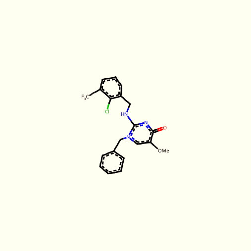 COc1cn(Cc2ccccc2)c(NCc2cccc(C(F)(F)F)c2Cl)nc1=O